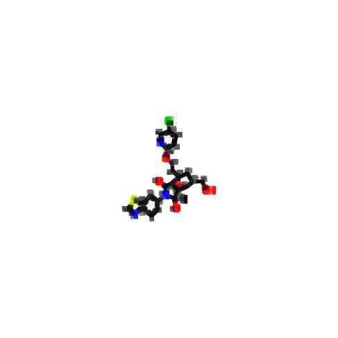 O=C1C2[C@H](C(=O)N1c1ccc3ncsc3c1)C1OC2(CCOc2ccc(Cl)cn2)CC1CO